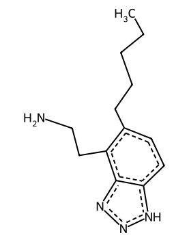 CCCCCc1ccc2[nH]nnc2c1CCN